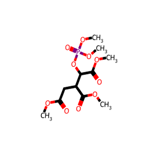 COC(=O)CC(C(=O)OC)C(OP(=O)(OC)OC)C(=O)OC